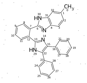 Cc1ccc2nc(-c3ccccc3-c3nc(-c4ccccc4)c(-c4ccccc4)[nH]3)[nH]c2c1